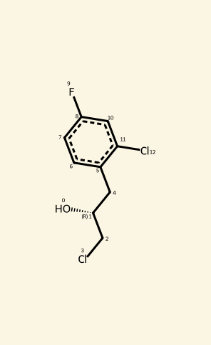 O[C@@H](CCl)Cc1ccc(F)cc1Cl